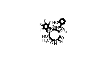 CC(C)C1NC(=O)[C@H](C)[C@H](O)[C@H](Cc2c(F)c(F)c(F)c(F)c2F)NC(=O)[C@@H](NC(=O)c2ccccc2O)[C@@H](C)OC1=O